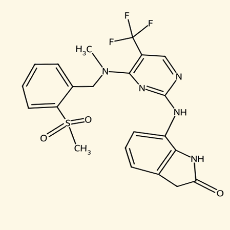 CN(Cc1ccccc1S(C)(=O)=O)c1nc(Nc2cccc3c2NC(=O)C3)ncc1C(F)(F)F